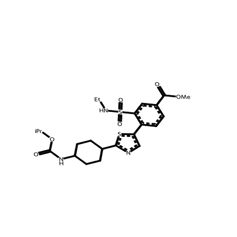 CCNS(=O)(=O)c1cc(C(=O)OC)ccc1-c1cnc(C2CCC(NC(=O)OC(C)C)CC2)s1